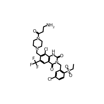 CCS(=O)(=O)c1ccc(Cl)cc1Cn1c(=O)[nH]c2c(Cl)c(CN3CCN(C(=O)CCN)CC3)c(C(F)(F)F)cc2c1=O